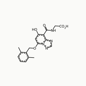 Cc1cccc(C)c1COc1cc(O)c(C(=O)NCC(=O)O)c2ncnn12